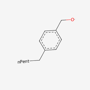 CCCCCCc1ccc(C[O])cc1